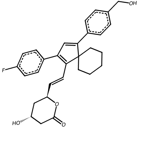 O=C1C[C@H](O)C[C@@H](/C=C/C2=C(c3ccc(F)cc3)C=C(c3ccc(CO)cc3)C23CCCCC3)O1